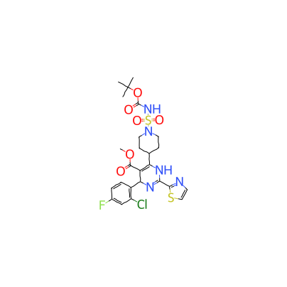 COC(=O)C1=C(C2CCN(S(=O)(=O)NC(=O)OC(C)(C)C)CC2)NC(c2nccs2)=NC1c1ccc(F)cc1Cl